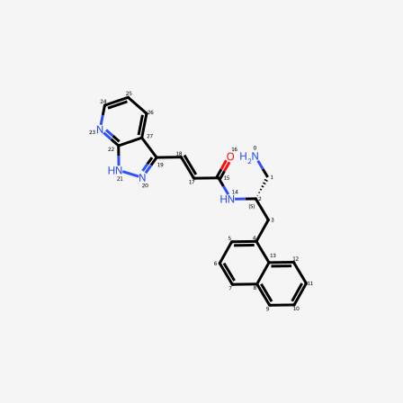 NC[C@H](Cc1cccc2ccccc12)NC(=O)C=Cc1n[nH]c2ncccc12